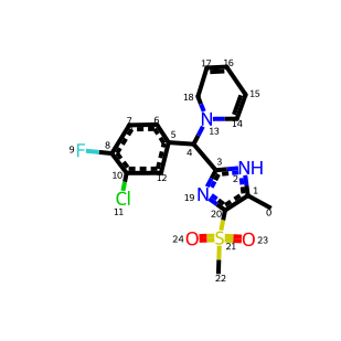 Cc1[nH]c(C(c2ccc(F)c(Cl)c2)N2C=CC=CC2)nc1S(C)(=O)=O